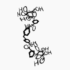 O=C(Nc1ccc(Cc2ccc(NC(=O)c3cccc([C@H]4O[C@H](CO)[C@@H](O)[C@H](O)[C@@H]4O)c3)cc2)cc1)c1cccc([C@H]2O[C@H](CO)[C@@H](O)[C@H](O)[C@@H]2O)c1